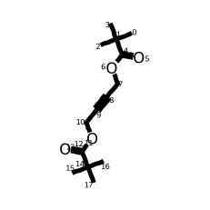 CC(C)(C)C(=O)OCC#CCOC(=O)C(C)(C)C